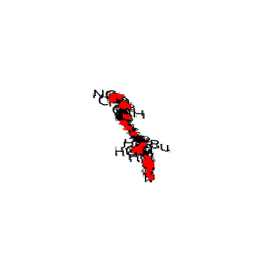 Cc1ncsc1-c1ccc([C@H](C)NC(=O)[C@@H]2C[C@@H](O)CN2C(=O)[C@@H](NC(=O)CCCCCCCCCc2ccc(C(=O)N[C@H]3C(C)(C)[C@H](Oc4ccc(C#N)c(Cl)c4)C3(C)C)cc2)C(C)(C)C)cc1